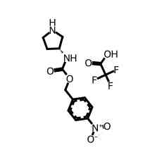 O=C(N[C@@H]1CCNC1)OCc1ccc([N+](=O)[O-])cc1.O=C(O)C(F)(F)F